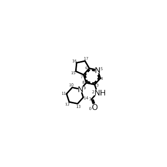 O=CNc1cnc2c(c1N1CCCCC1)CCC2